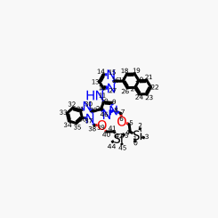 C[Si](C)(C)CCOCn1cc(Nc2ccnc(-c3ccc4ccccc4c3)n2)c(-c2nc3ccccc3n2COCC[Si](C)(C)C)n1